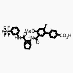 COc1cc(F)c(-c2ccc(C(=O)O)cc2)cc1C(=O)NC1C2CCC(C2)C1C(=O)Nc1cccc(S(F)(F)(F)(F)F)c1